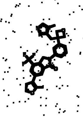 CC1=C(c2cc3c(c(C(F)(F)F)c2)CN(c2cccc(C4(Cc5nncn5C)COC4)c2)C3=O)CCO1